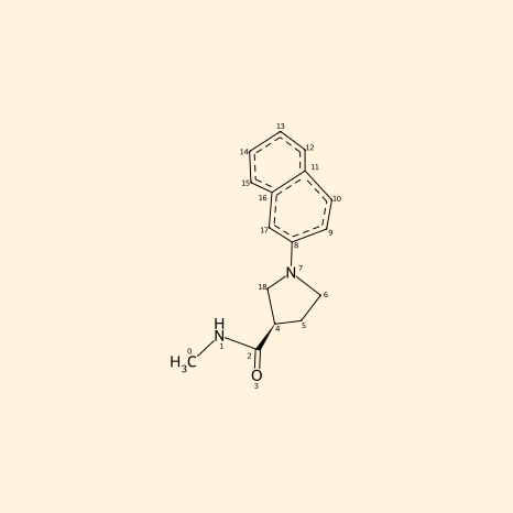 CNC(=O)[C@@H]1CCN(c2ccc3ccccc3c2)C1